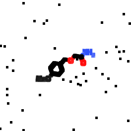 COc1ccc(COCC(N)=O)cc1